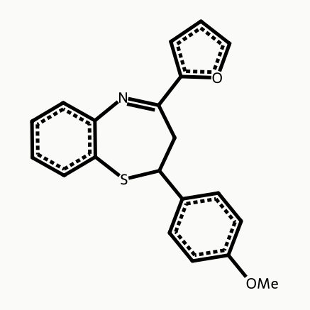 COc1ccc(C2CC(c3ccco3)=Nc3ccccc3S2)cc1